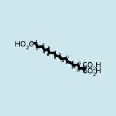 O=C(O)CCCCCCCCC=CCCCCCCC(C(=O)O)C(=O)O